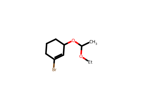 CCOC(C)OC1C=C(Br)CCC1